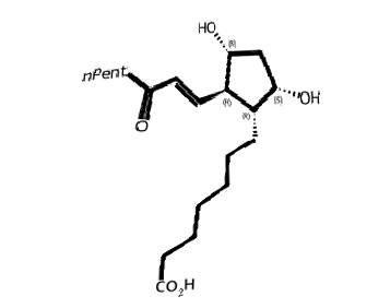 CCCCCC(=O)C=C[C@@H]1[C@@H](CCCCCCC(=O)O)[C@@H](O)C[C@H]1O